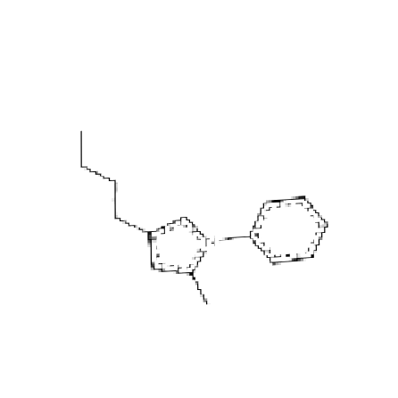 CCCCc1cc(C)n(-c2ccccc2)c1